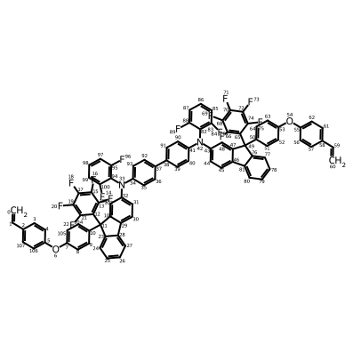 C=Cc1ccc(Oc2ccc(C3(c4c(F)c(F)c(F)c(F)c4F)c4ccccc4-c4ccc(N(c5ccc(-c6ccc(N(c7ccc8c(c7)C(c7ccc(Oc9ccc(C=C)cc9)cc7)(c7c(F)c(F)c(F)c(F)c7F)c7ccccc7-8)c7c(F)cccc7F)cc6)cc5)c5c(F)cccc5F)cc43)cc2)cc1